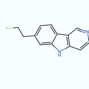 FCCc1ccc2c(c1)[nH]c1ccncc12